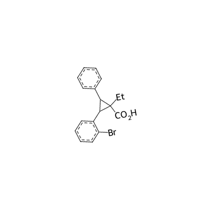 CCC1(C(=O)O)C(c2ccccc2)C1c1ccccc1Br